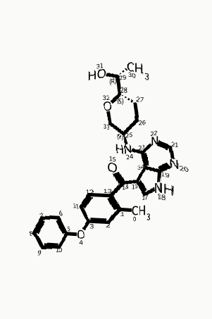 Cc1cc(Oc2ccccc2)ccc1C(=O)c1c[nH]c2ncnc(N[C@@H]3CC[C@@H]([C@@H](C)O)OC3)c12